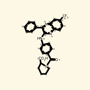 O=C(O)C1CCCCN1C(=O)c1ccc(Nc2nc3ccc(C(F)(F)F)cc3nc2-c2ccccc2)cc1